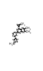 Cc1nc2nc(N3CCO[C@H](c4cnn(C)c4)C3)nc([C@@H]3C[C@H]3C(F)(F)F)c2nc1C